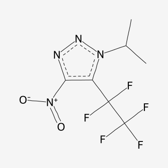 CC(C)n1nnc([N+](=O)[O-])c1C(F)(F)C(F)(F)F